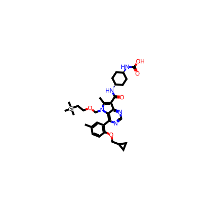 Cc1ccc(OCC2CC2)c(-c2ncnc3c(C(=O)N[C@H]4CC[C@H](NC(=O)O)CC4)c(C)n(COCC[Si](C)(C)C)c23)c1